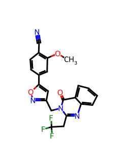 COc1cc(-c2cc(Cn3c(CC(F)(F)F)nc4ccccc4c3=O)no2)ccc1C#N